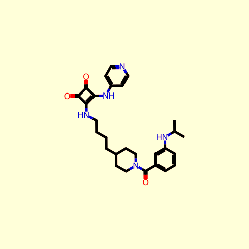 CC(C)Nc1cccc(C(=O)N2CCC(CCCCNc3c(Nc4ccncc4)c(=O)c3=O)CC2)c1